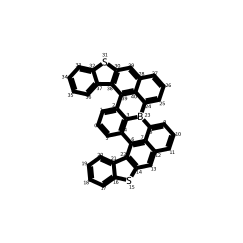 c1cc2c3c(c1)-c1c4c(cccc4cc4sc5ccccc5c14)B3c1cccc3cc4sc5ccccc5c4c-2c13